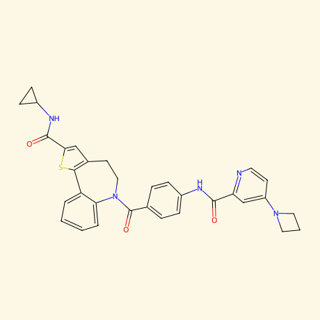 O=C(Nc1ccc(C(=O)N2CCc3cc(C(=O)NC4CC4)sc3-c3ccccc32)cc1)c1cc(N2CCC2)ccn1